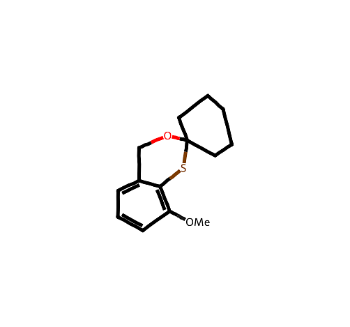 COc1cccc2c1SC1(CCCCC1)OC2